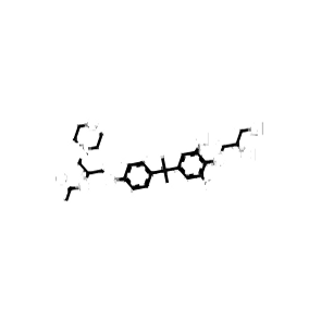 CC(=O)OC(COc1ccc(C(C)(C)c2cc(Cl)c(OCC(O)CCl)c(Cl)c2)cc1)CN1CCOCC1